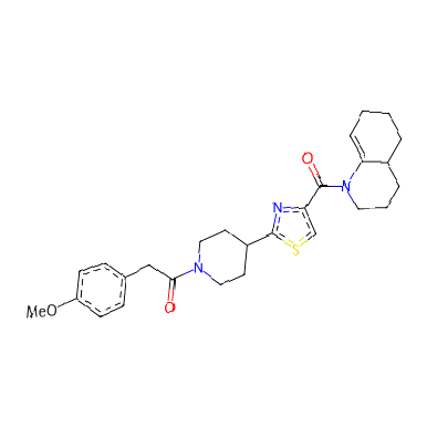 COc1ccc(CC(=O)N2CCC(c3nc(C(=O)N4CCCC5CCCC=C54)cs3)CC2)cc1